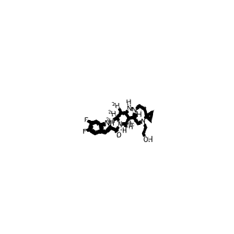 [2H]C1C2NN3CCC4(CC4)N(CCO)CC3([2H])C2([2H])C([2H])([2H])N(C(=O)c2cc3cc(F)c(F)cc3[nH]2)C1([2H])[2H]